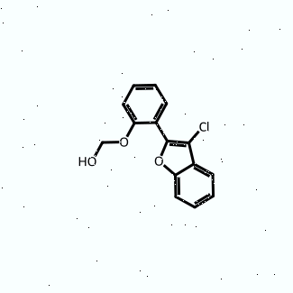 OCOc1ccccc1-c1oc2ccccc2c1Cl